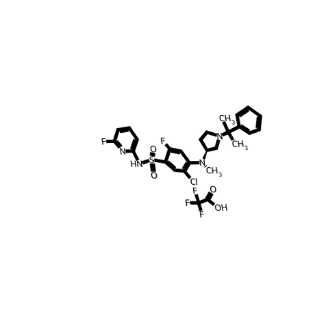 CN(c1cc(F)c(S(=O)(=O)Nc2cccc(F)n2)cc1Cl)[C@H]1CCN(C(C)(C)c2ccccc2)C1.O=C(O)C(F)(F)F